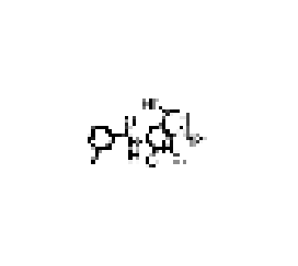 CCN1C(=O)[C@@H](NC(=O)c2cccc(C)c2)CC(C(C)=N)=C1NC(C)C